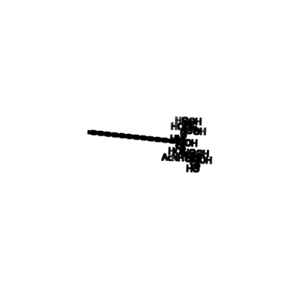 CC#CC#CC#CC#CC#CC#CC#CC#CC#CC#CC#CC#CC(=O)N[C@@H](CO[C@H]1OC(CO)[C@H](O)[C@H](O)C1O)[C@H](O)CC[C@@H](O)[C@H](CO[C@H]1OC(CO)[C@H](O)[C@H](O)C1O)NC(C)=O